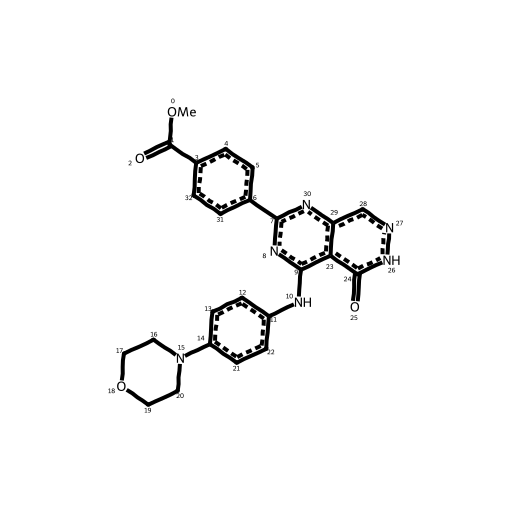 COC(=O)c1ccc(-c2nc(Nc3ccc(N4CCOCC4)cc3)c3c(=O)[nH]ncc3n2)cc1